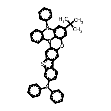 CC(C)(C)c1cc2c3c(c1)N(c1ccccc1)c1ccccc1B3c1cc3sc4cc(N(c5ccccc5)c5ccccc5)ccc4c3cc1O2